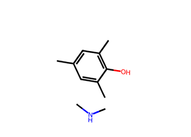 CNC.Cc1cc(C)c(O)c(C)c1